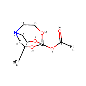 CCCC1CN2CCO[Si](OC(=O)CC)(OCC2)O1